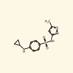 Cc1cc(NS(=O)(=O)c2ccc(NC3CC3)cc2)no1